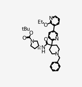 CCOc1ncccc1-c1ccc(C2(C(=O)N[C@@H]3CCN(C(=O)OC(C)(C)C)C3)CCN(Cc3ccccc3)CC2)nc1